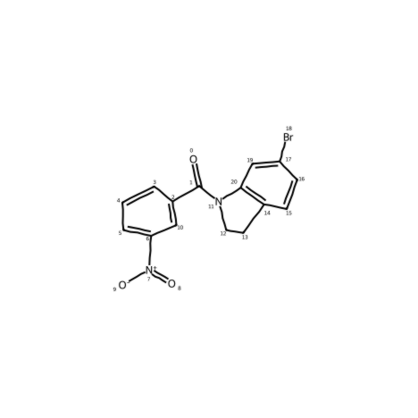 O=C(c1cccc([N+](=O)[O-])c1)N1CCc2ccc(Br)cc21